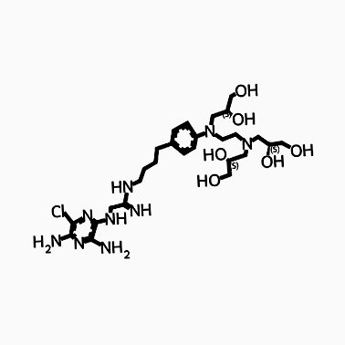 N=C(CNc1nc(Cl)c(N)nc1N)NCCCCc1ccc(N(CCN(C[C@H](O)CO)C[C@H](O)CO)C[C@H](O)CO)cc1